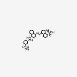 Cc1ccc(/N=N/c2ccc(NNc3cccc(S(=O)(=O)O)c3)c3ccccc23)c2cccc(S(=O)(=O)O)c12